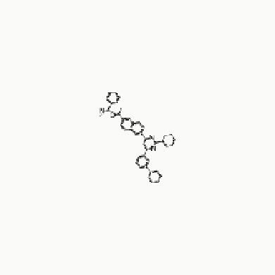 C/N=C(\OC(C)c1ccc2cc(-c3cc(-c4cccc(-c5ccccc5)c4)nc(C4=CC=CCC4)n3)ccc2c1)c1ccccc1